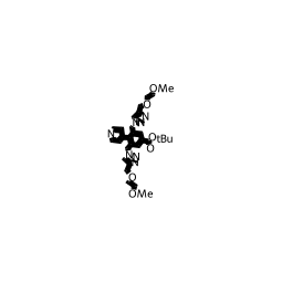 COCCOCc1cn(Cc2cc(C(=O)OC(C)(C)C)cc(Cn3cc(COCCOC)nn3)c2-c2ccncc2)nn1